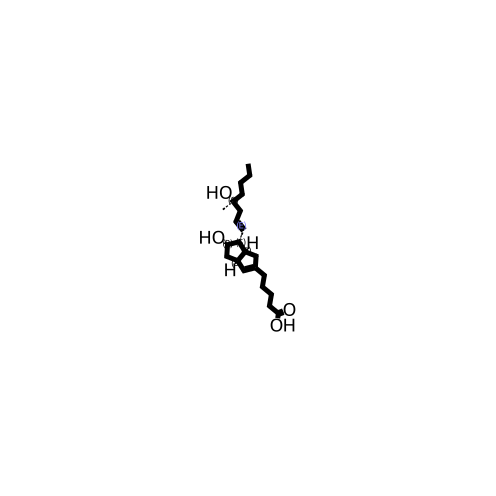 CCCC[C@](C)(O)C/C=C/[C@@H]1[C@H]2CC(CCCCC(=O)O)=C[C@H]2C[C@H]1O